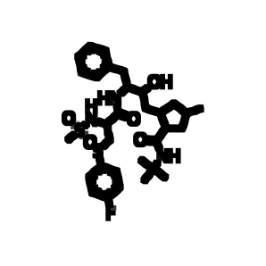 CC1CC(CC(O)C(Cc2ccccc2)NC(=O)C(CSc2ccc(F)cc2)NS(C)(=O)=O)C(C(=O)NC(C)(C)C)C1